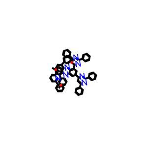 Cc1ccc2c(c1)c1cc(C)ccc1n2-c1cc(-c2cc(-c3ccccc3)nc(-c3ccccc3)n2)cc(-c2cc(-c3ccccc3)nc(-c3ccccc3)n2)c1-n1c2ccccc2c2ccc(-c3cccc(-c4ccccc4)n3)cc21